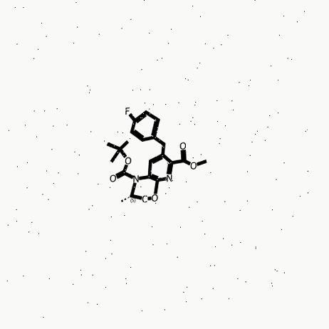 COC(=O)c1nc2c(cc1Cc1ccc(F)cc1)N(C(=O)OC(C)(C)C)[C@@H](C)CO2